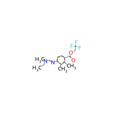 CCN(C)/C=N/c1ccc(C(=O)OCC(F)(F)F)c(C)c1C